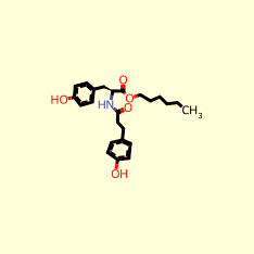 CCCCCCOC(=O)[C@H](Cc1ccc(O)cc1)NC(=O)CCc1ccc(O)cc1